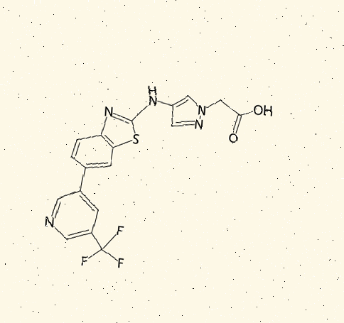 O=C(O)Cn1cc(Nc2nc3ccc(-c4cncc(C(F)(F)F)c4)cc3s2)cn1